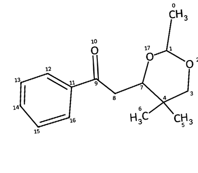 CC1OCC(C)(C)C(CC(=O)c2ccccc2)O1